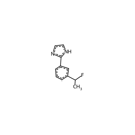 CC(F)c1[c]ccc(-c2ncc[nH]2)c1